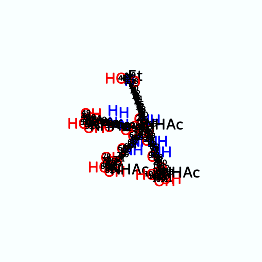 CC[C@@H]1C[C@@H](O)CN1C(=O)CCCCCCCCCCCCC(=O)N[C@@H]1O[C@H](COCCC(=O)NCCCNC(=O)CCCCO[C@@H]2O[C@H](CO)[C@H](O)[C@H](O)[C@H]2NC(C)=O)[C@@H](OCCC(=O)NCCCNC(=O)CCCCO[C@@H]2O[C@H](CO)[C@H](O)[C@H](O)[C@H]2NC(C)=O)[C@H](OCCC(=O)NCCCNC(=O)CCCCO[C@@H]2O[C@H](CO)[C@H](O)[C@H](O)[C@H]2NC(C)=O)[C@H]1NC(C)=O